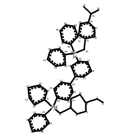 CCC1CCC(C[PH](c2ccccc2)(c2ccccc2)c2ccc(-c3cccc([PH](Cc4ccc(C(C)C)cc4)(c4ccccc4)c4ccccc4)c3)cc2)CC1